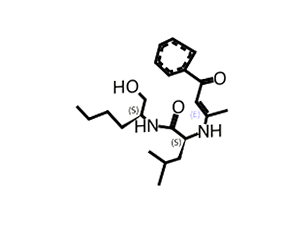 CCCC[C@@H](CO)NC(=O)[C@H](CC(C)C)N/C(C)=C/C(=O)c1ccccc1